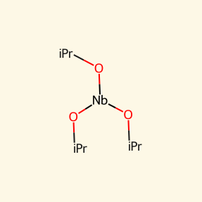 CC(C)[O][Nb]([O]C(C)C)[O]C(C)C